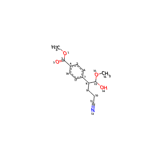 COC(=O)c1ccc(C(CCC#N)C(O)OC)cc1